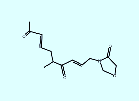 CC(=O)/C=C/CC(C)C(=O)/C=C/CN1COCC1=O